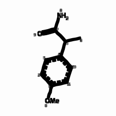 COc1ccc(C(C)C(N)=O)cc1